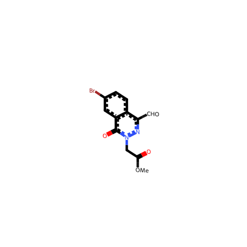 COC(=O)Cn1nc(C=O)c2ccc(Br)cc2c1=O